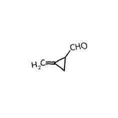 C=C1CC1C=O